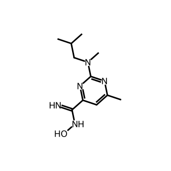 Cc1cc(C(=N)NO)nc(N(C)CC(C)C)n1